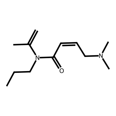 C=C(C)N(CCC)C(=O)/C=C\CN(C)C